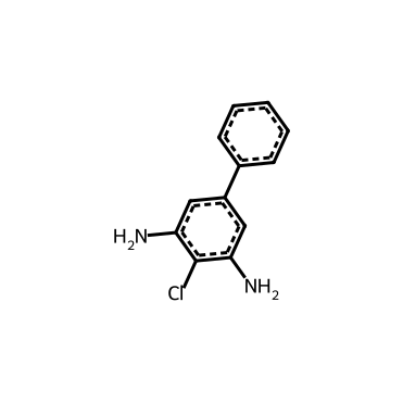 Nc1cc(-c2ccccc2)cc(N)c1Cl